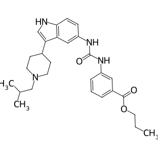 CCCOC(=O)c1cccc(NC(=O)Nc2ccc3[nH]cc(C4CCN(CC(C)C)CC4)c3c2)c1